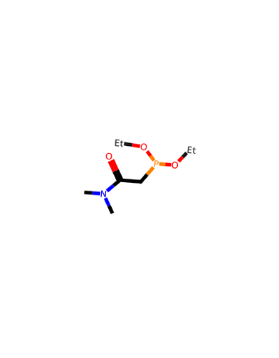 CCOP(CC(=O)N(C)C)OCC